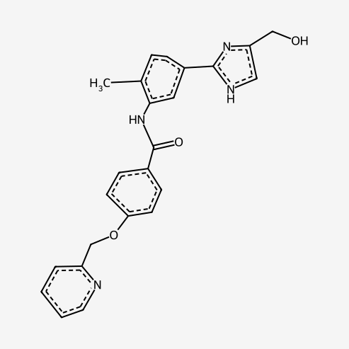 Cc1ccc(-c2nc(CO)c[nH]2)cc1NC(=O)c1ccc(OCc2ccccn2)cc1